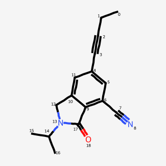 CCC#Cc1cc(C#N)c2c(c1)CN(C(C)C)C2=O